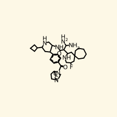 NC(N)C(C(=O)NC1CNC(C2CCC2)CC1c1ccc(C(=O)N2CCN3CCC2CC3)cc1)C1CC2(CCCCCC2)CC(F)CN1